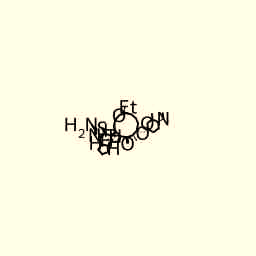 CC[C@H]1CCC[C@H](O[C@H]2CC[C@H](N(C)C)C(C)O2)[C@@H](C)C(=O)C2=C[C@H]3[C@@H]4CCC[C@H]4c4nc(N)sc4[C@H]3[C@@H]2CCO1